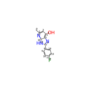 Cc1cc(O)c2nc(-c3ccc(F)cc3)[nH]c2n1